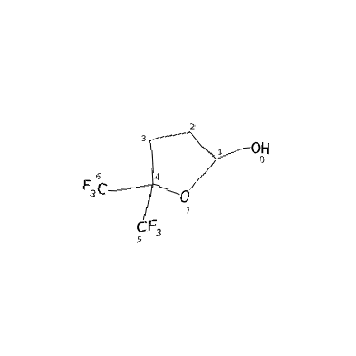 OC1CCC(C(F)(F)F)(C(F)(F)F)O1